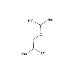 CCCCC(CC)COC(O)C(C)(C)C